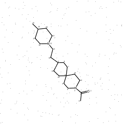 CC(=O)N1CCC2(CCC(CCN3CCC(C)CC3)CC2)CC1